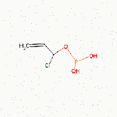 C=CC(Cl)OP(O)O